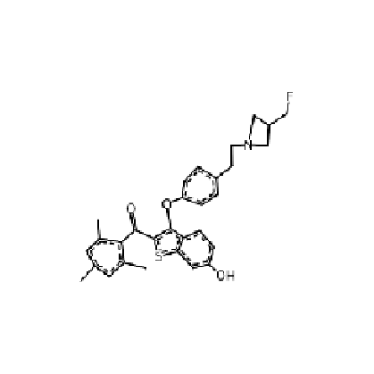 Cc1cc(C)c(C(=O)c2sc3cc(O)ccc3c2Oc2ccc(CCN3CC(CF)C3)cc2)c(C)c1